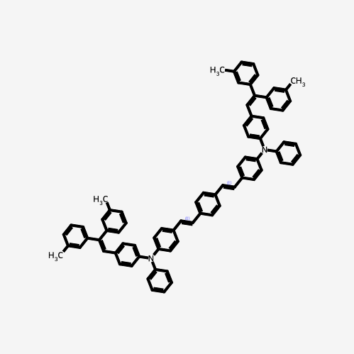 Cc1cccc(C(=Cc2ccc(N(c3ccccc3)c3ccc(/C=C/c4ccc(/C=C/c5ccc(N(c6ccccc6)c6ccc(C=C(c7cccc(C)c7)c7cccc(C)c7)cc6)cc5)cc4)cc3)cc2)c2cccc(C)c2)c1